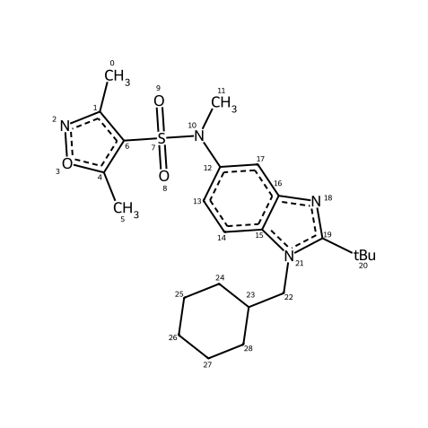 Cc1noc(C)c1S(=O)(=O)N(C)c1ccc2c(c1)nc(C(C)(C)C)n2CC1CCCCC1